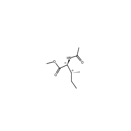 [CH2]OC(=O)[C@@H](NC(C)=O)[C@H](C)CC